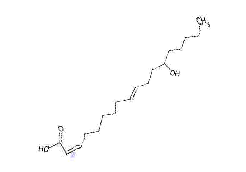 CCCCCC(O)CCC=CCCCCC/C=C\C(=O)O